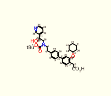 CC(C)(C)OC(=O)N(CCc1ccc(-c2ccc(CC(=O)O)c(OC3CCCCC3)c2)cc1)C[C@H](O)c1cccnc1